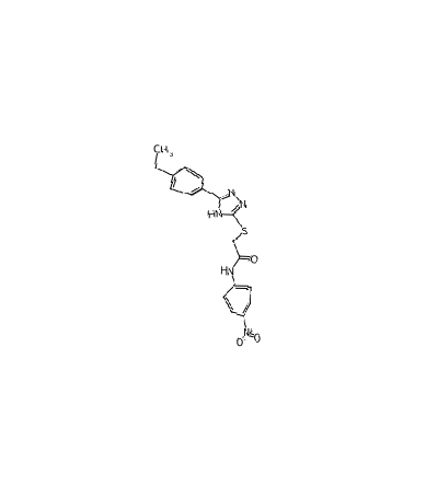 CCc1ccc(-c2nnc(SCC(=O)Nc3ccc([N+](=O)[O-])cc3)[nH]2)cc1